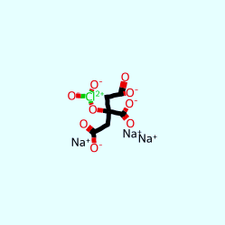 O=C([O-])CC(CC(=O)[O-])(O[Cl+2]([O-])[O-])C(=O)[O-].[Na+].[Na+].[Na+]